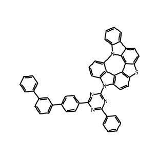 c1ccc(-c2cccc(-c3ccc(-c4nc(-c5ccccc5)nc(-n5c6ccc7sc8ccc9c%10ccccc%10n%10c%11cccc5c%11c6c7c8c9%10)n4)cc3)c2)cc1